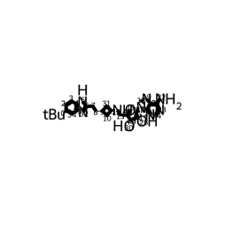 CC(C)(C)c1ccc2[nH]c(CC[C@H]3C[C@H](NC[C@H]4O[C@@H](n5cnc6c(N)ncnc65)[C@H](O)[C@@H]4O)C3)nc2c1